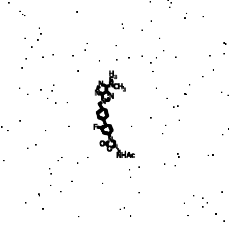 CC(=O)NC[C@H]1CN(c2ccc(-c3ccc(Cn4cnc5c(N(C)C)ncnc54)cc3)c(F)c2)C(=O)O1